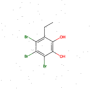 CCc1c(O)c(O)c(Br)c(Br)c1Br